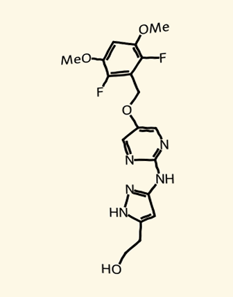 COc1cc(OC)c(F)c(COc2cnc(Nc3cc(CCO)[nH]n3)nc2)c1F